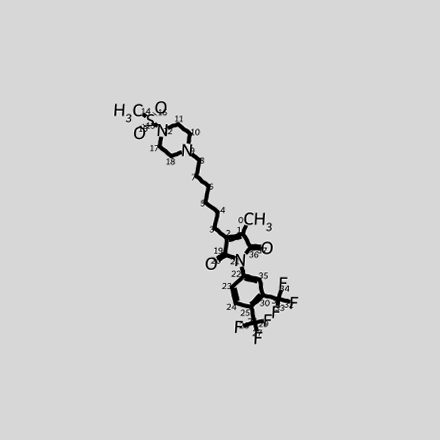 CC1=C(CCCCCCN2CCN(S(C)(=O)=O)CC2)C(=O)N(c2ccc(C(F)(F)F)c(C(F)(F)F)c2)C1=O